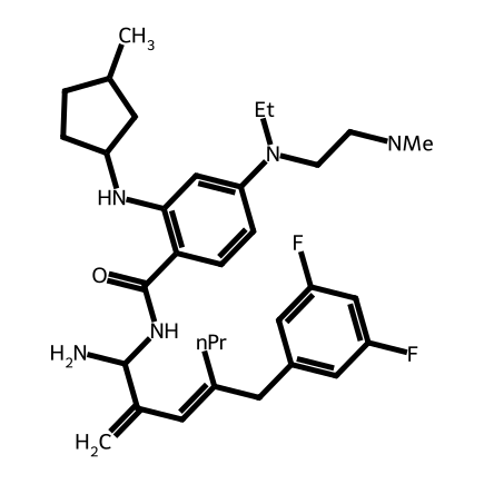 C=C(/C=C(\CCC)Cc1cc(F)cc(F)c1)C(N)NC(=O)c1ccc(N(CC)CCNC)cc1NC1CCC(C)C1